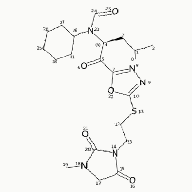 CC(C)C[C@@H](C(=O)c1nnc(SCCN2C(=O)CN(C)C2=O)o1)N(C=O)C1CCCCC1